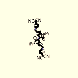 CC(C)N1C(=O)/C(=C2/C(=O)N(C(C)C)c3cc(/C=c4\ccc(=C(C#N)C#N)s4)sc32)c2sc(/C=c3\ccc(=C(C#N)C#N)s3)cc21